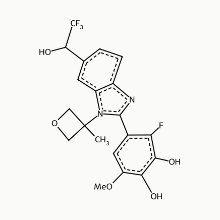 COc1cc(-c2nc3ccc(C(O)C(F)(F)F)cc3n2C2(C)COC2)c(F)c(O)c1O